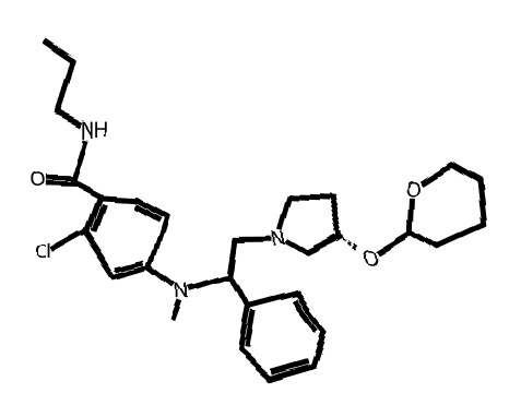 CCCNC(=O)c1ccc(N(C)C(CN2CC[C@H](OC3CCCCO3)C2)c2ccccc2)cc1Cl